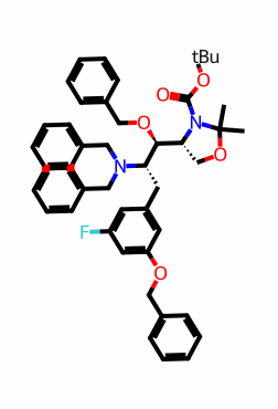 CC(C)(C)OC(=O)N1[C@@H]([C@H](OCc2ccccc2)[C@H](Cc2cc(F)cc(OCc3ccccc3)c2)N(Cc2ccccc2)Cc2ccccc2)COC1(C)C